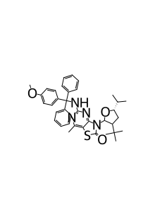 COc1ccc(C(Nc2nc(C)c3sc(=O)n(C4O[C@H](C(C)C)CC4C(C)(C)C)c3n2)(c2ccccc2)c2ccccc2)cc1